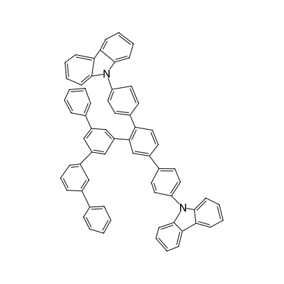 c1ccc(-c2cccc(-c3cc(-c4ccccc4)cc(-c4cc(-c5ccc(-n6c7ccccc7c7ccccc76)cc5)ccc4-c4ccc(-n5c6ccccc6c6ccccc65)cc4)c3)c2)cc1